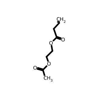 C=CCC(=O)OCCOC(C)=O